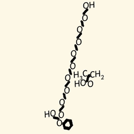 C=C(C)C(=O)O.OCCOCCOCCOCCOCCOCCOCCOCCOCCOC(CO)Oc1ccccc1